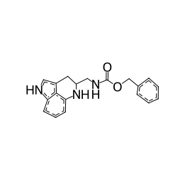 O=C(NCC1Cc2c[nH]c3cccc(c23)N1)OCc1ccccc1